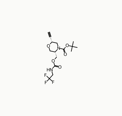 C#C[C@@H]1CN(C(=O)OC(C)(C)C)[C@H](COC(=O)NCC(F)(F)F)CO1